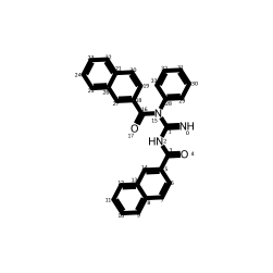 N=C(NC(=O)c1ccc2ccccc2c1)N(C(=O)c1ccc2ccccc2c1)c1ccccc1